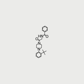 CC(C)(C)c1ccccc1N1CCN(C(=O)CNC(=O)c2ccccc2)CC1